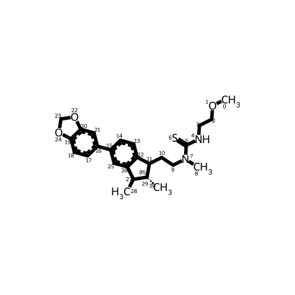 COCCNC(=S)N(C)CCC1c2ccc(-c3ccc4c(c3)OCO4)cc2C(C)[C@H]1C